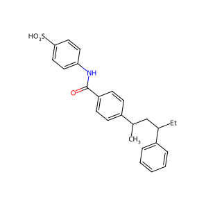 CCC(CC(C)c1ccc(C(=O)Nc2ccc(S(=O)(=O)O)cc2)cc1)c1ccccc1